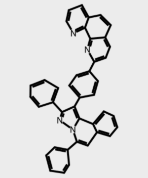 c1ccc(-c2nn3c(-c4ccccc4)cc4ccccc4c3c2-c2ccc(-c3ccc4ccc5cccnc5c4n3)cc2)cc1